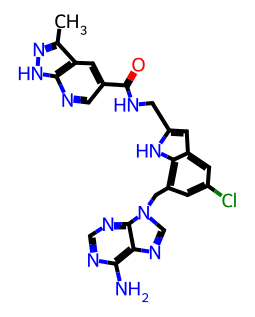 Cc1n[nH]c2ncc(C(=O)NCc3cc4cc(Cl)cc(Cn5cnc6c(N)ncnc65)c4[nH]3)cc12